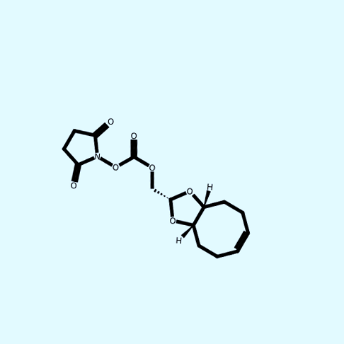 O=C(OC[C@H]1O[C@H]2CC/C=C\CC[C@H]2O1)ON1C(=O)CCC1=O